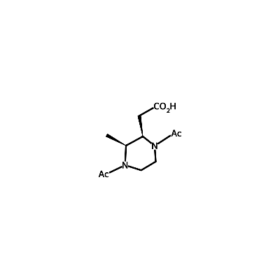 CC(=O)N1CCN(C(C)=O)[C@@H](C)[C@H]1CC(=O)O